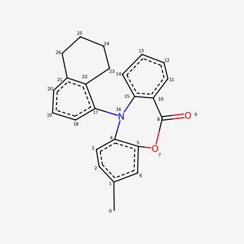 Cc1ccc2c(c1)OC(=O)c1ccccc1N2c1cccc2c1CCCC2